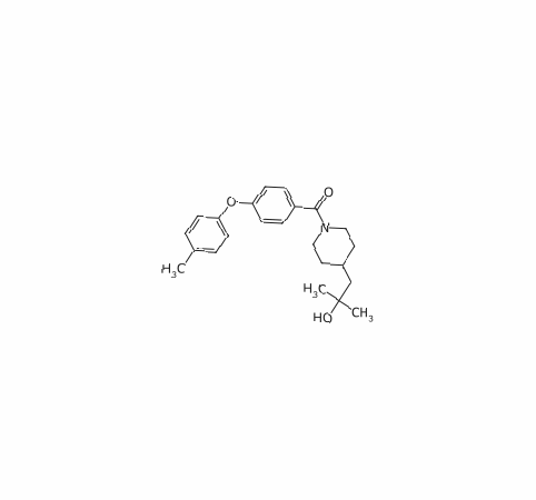 Cc1ccc(Oc2ccc(C(=O)N3CCC(CC(C)(C)O)CC3)cc2)cc1